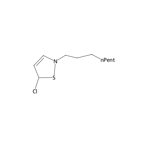 CCCCCCCCN1C=CC(Cl)S1